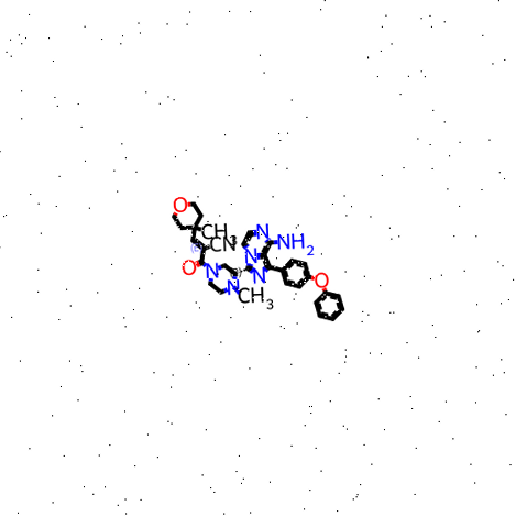 CN1CCN(C(=O)/C(C#N)=C/C2(C)CCOCC2)C[C@@H]1c1nc(-c2ccc(Oc3ccccc3)cc2)c2c(N)nccn12